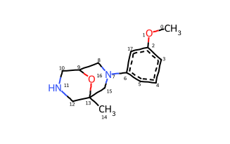 COc1cccc(N2CC3CNCC(C)(C2)O3)c1